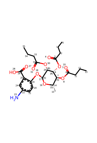 CCCC(=O)O[C@@H]1[C@@H](OC(=O)CCC)[C@H](C)O[C@@H](Oc2ccc(N)cc2C(=O)O)[C@@H]1OC(=O)CCC